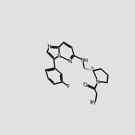 CC(C)CC(=O)N1CCC[C@H]1CNc1ccc2ncc(-c3cccc(F)c3)n2n1